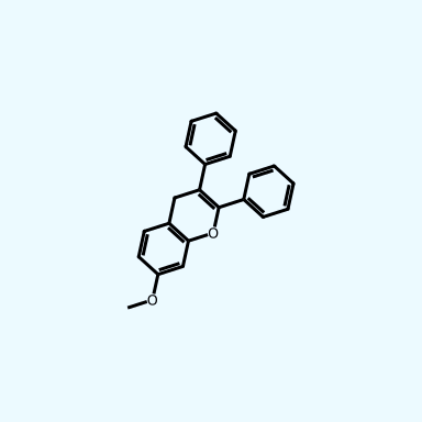 COc1ccc2c(c1)OC(c1ccccc1)=C(c1ccccc1)C2